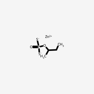 CCC(C)OP(=O)([S-])[S-].[Zn+2]